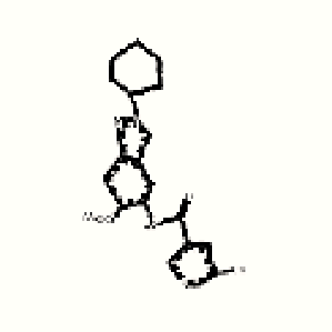 COc1cc2nn(C3CCCCC3)cc2cc1NC(=O)c1cncc(C#N)c1